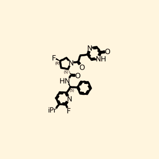 CC(C)c1ccc([C@@H](NC(=O)[C@@H]2C[C@@H](F)CN2C(=O)Cc2c[nH]c(=O)cn2)c2ccccc2)nc1F